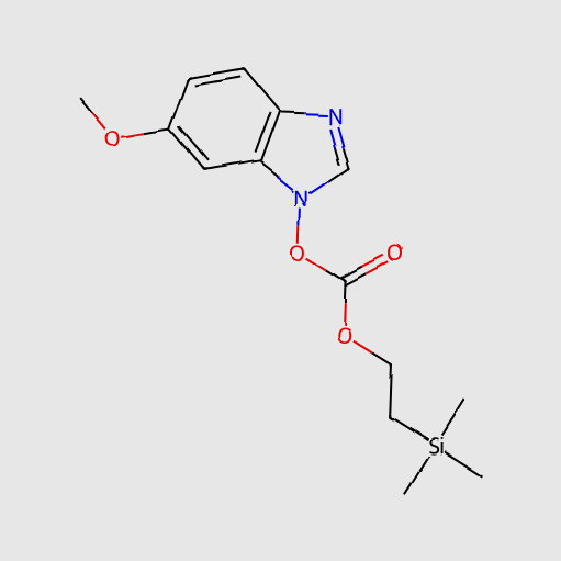 COc1ccc2ncn(OC(=O)OCC[Si](C)(C)C)c2c1